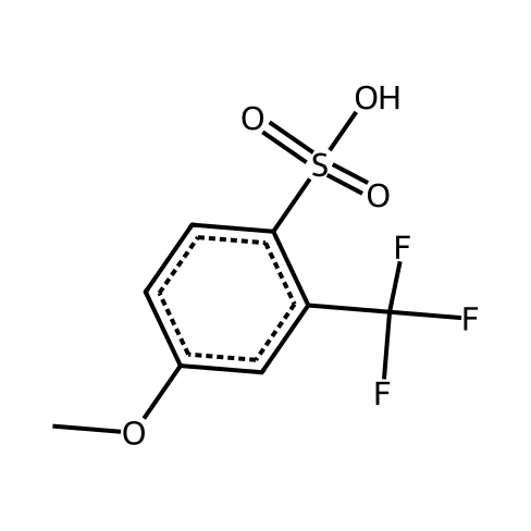 COc1ccc(S(=O)(=O)O)c(C(F)(F)F)c1